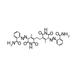 CC1=C(CCC2=C(C)C(N=Nc3ccccc3C(N)=O)C(=O)NC2=O)C(=O)NC(=O)C1N=Nc1ccccc1C(N)=O